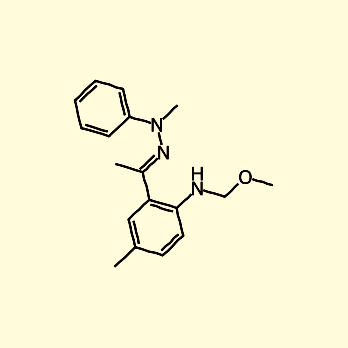 COCNc1ccc(C)cc1/C(C)=N/N(C)c1ccccc1